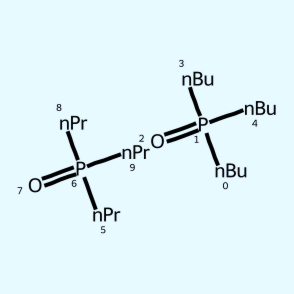 CCCCP(=O)(CCCC)CCCC.CCCP(=O)(CCC)CCC